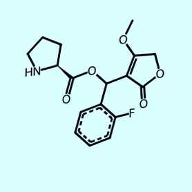 COC1=C(C(OC(=O)[C@@H]2CCCN2)c2ccccc2F)C(=O)OC1